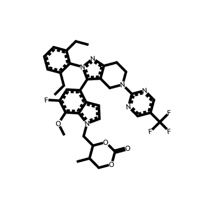 CCc1cccc(CC)c1-n1nc2c(c1-c1cc(F)c(OC)c3c1ccn3CC1OC(=O)OCC1C)CN(c1ncc(C(F)(F)F)cn1)CC2